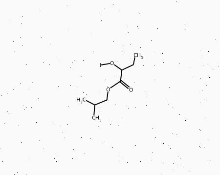 CCC(OI)C(=O)OCC(C)C